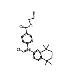 C=CCOC(=O)c1ccc([N+](=CCl)c2ccc3c(c2)C(C)(C)CCC3(C)C)cc1